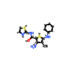 N#Cc1c(Nc2ccccc2)sc(C(=O)Nc2nccs2)c1N